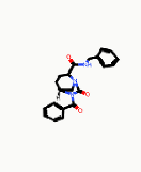 O=C(NCc1ccccc1)C1CC[C@@H]2CN1C(=O)N2C(=O)c1ccccc1